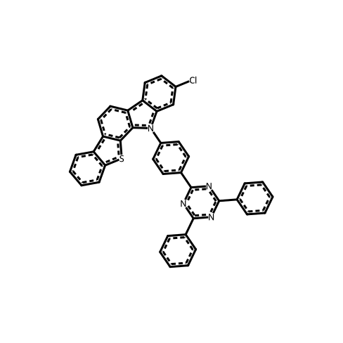 Clc1ccc2c3ccc4c5ccccc5sc4c3n(-c3ccc(-c4nc(-c5ccccc5)nc(-c5ccccc5)n4)cc3)c2c1